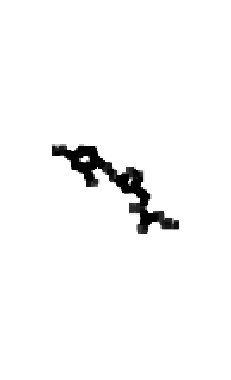 CC(C)(C)OC(=O)NCC1=NOC(COc2ccc(C#N)cc2Br)C1